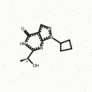 C[C@H](O)c1nc2c(cnn2C2CCC2)c(=O)[nH]1